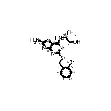 C[C@H](CO)Nc1nc(SCc2ccccc2Br)nc2nc(N)sc12